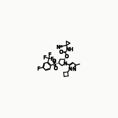 Cc1cc(N2C[C@H](S(=O)(=O)c3ccc(F)cc3C(F)(F)F)C[C@@H]2OC(=O)NC2(C#N)CC2)n(C2CCC2)n1